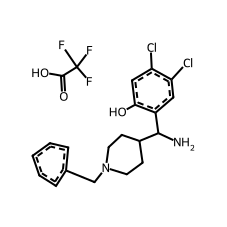 NC(c1cc(Cl)c(Cl)cc1O)C1CCN(Cc2ccccc2)CC1.O=C(O)C(F)(F)F